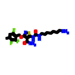 Cc1cc(F)c(COc2nsc(NC(=O)NCCCCCCCN)c2C(N)=O)c(F)c1F